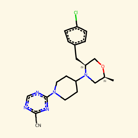 C[C@H]1CN(C2CCN(c3ncnc(C#N)n3)CC2)[C@@H](Cc2ccc(Cl)cc2)CO1